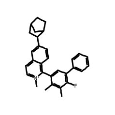 Cc1c(-c2c3ccc(C4CC5CCC4C5)cc3cc[n+]2C)cc(-c2ccccc2)c(F)c1C